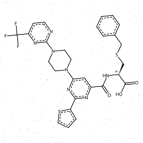 O=C(N[C@@H](CSCc1ccccc1)C(=O)O)c1cc(N2CCN(c3nccc(C(F)(F)F)n3)CC2)nc(-c2cccs2)n1